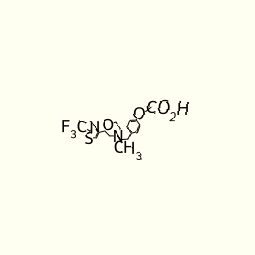 CC(Cc1ccc(OCC(=O)O)cc1)N1CCOC(c2csc(C(F)(F)F)n2)C1